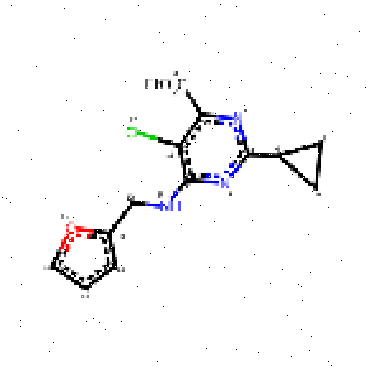 CCOC(=O)c1nc(C2CC2)nc(NCc2ccco2)c1Cl